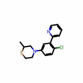 CC1CN(c2ccc(Cl)c(-c3ccccn3)c2)CCS1